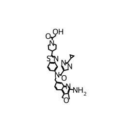 Nc1nc2cc(CN(C(=O)c3cnc(C4CC4)nc3)c3ccc4sc(C5CCN(C(=O)CO)CC5)nc4c3)ccc2c2c1COC2